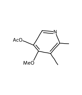 COc1c(OC(C)=O)cnc(C)c1C